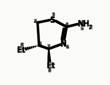 CC[C@@H]1CSC(N)=N[C@H]1CC